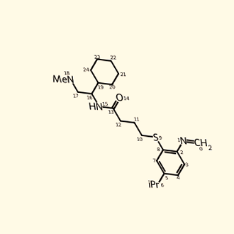 C=Nc1ccc(C(C)C)cc1SCCCC(=O)NC(CNC)C1CCCCC1